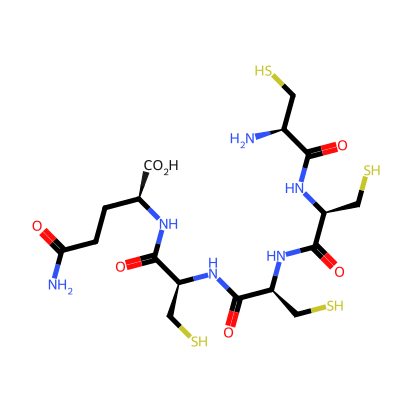 NC(=O)CC[C@H](NC(=O)[C@H](CS)NC(=O)[C@H](CS)NC(=O)[C@H](CS)NC(=O)[C@@H](N)CS)C(=O)O